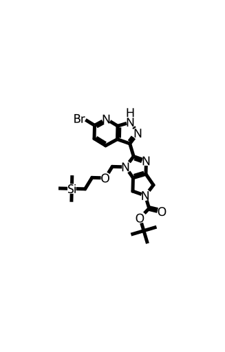 CC(C)(C)OC(=O)N1Cc2nc(-c3n[nH]c4nc(Br)ccc34)n(COCC[Si](C)(C)C)c2C1